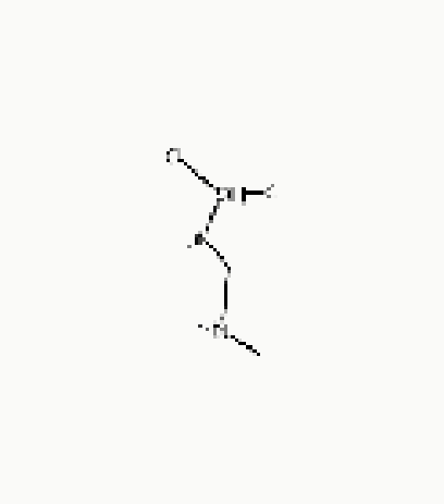 CNCN[SiH](Cl)Cl